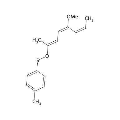 C\C=C/C(=C\C=C(/C)OSc1ccc(C)cc1)OC